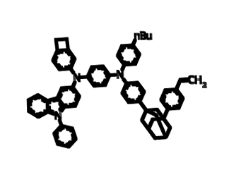 C=Cc1ccc(C23CC4CC(C2)CC(c2ccc(N(c5ccc(CCCC)cc5)c5ccc(N(c6ccc7c(c6)CC7)c6ccc7c(c6)c6ccccc6n7-c6ccccc6)cc5)cc2)(C4)C3)cc1